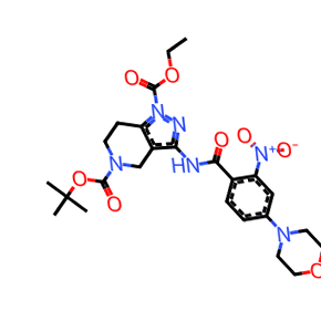 CCOC(=O)n1nc(NC(=O)c2ccc(N3CCOCC3)cc2[N+](=O)[O-])c2c1CCN(C(=O)OC(C)(C)C)C2